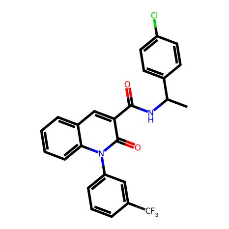 CC(NC(=O)c1cc2ccccc2n(-c2cccc(C(F)(F)F)c2)c1=O)c1ccc(Cl)cc1